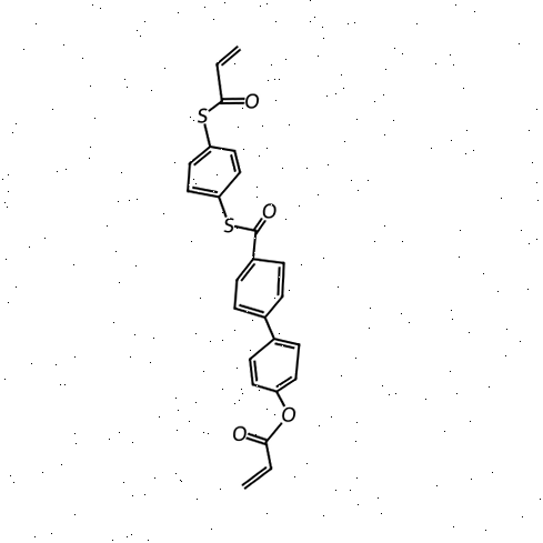 C=CC(=O)Oc1ccc(-c2ccc(C(=O)Sc3ccc(SC(=O)C=C)cc3)cc2)cc1